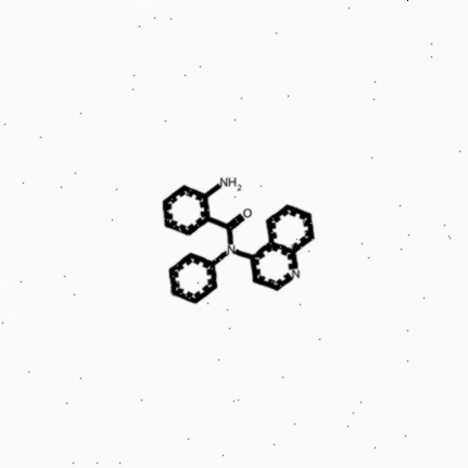 Nc1ccccc1C(=O)N(c1ccccc1)c1ccnc2ccccc12